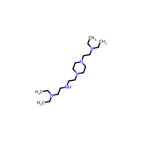 CCN(CC)CCNCCN1CCN(CCN(CC)CC)CC1